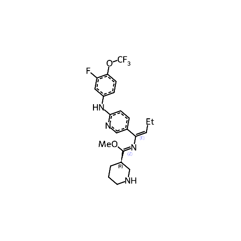 CC/C=C(/N=C(\OC)[C@@H]1CCCNC1)c1ccc(Nc2ccc(OC(F)(F)F)c(F)c2)nc1